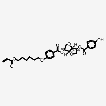 C=CC(=O)OCCCCCCOc1ccc(C(=O)O[C@H]2CO[C@H]3[C@@H]2OC[C@H]3OC(=O)c2ccc(O)cc2)cc1